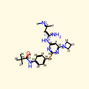 C/N=C(C)\C=C(/N)Nc1cc(N2CCC2)nc(Sc2ccc(NC(=O)C(C)(C)C)cc2)n1